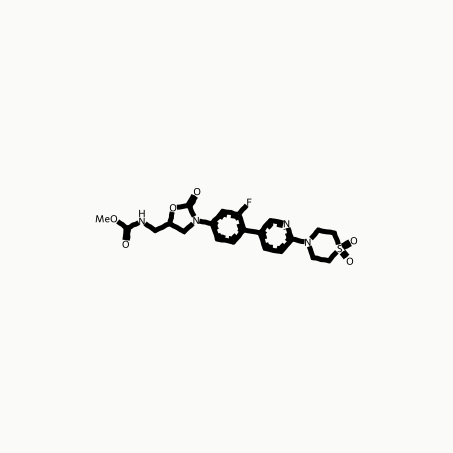 COC(=O)NCC1CN(c2ccc(-c3ccc(N4CCS(=O)(=O)CC4)nc3)c(F)c2)C(=O)O1